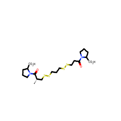 C[C@@H](CSSCCCSSCCC(=O)N1CCCC1C(=O)O)C(=O)N1CCCC1C(=O)O